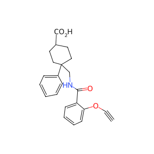 C#COc1ccccc1C(=O)NCC1(c2ccccc2)CCC(C(=O)O)CC1